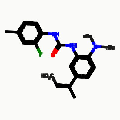 CCCCN(CCCC)c1ccc(/C(C)=C\C(=O)O)cc1NC(=O)Nc1ccc(C)cc1F